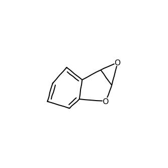 c1ccc2c(c1)OC1OC21